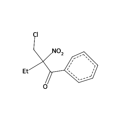 CCC(CCl)(C(=O)c1ccccc1)[N+](=O)[O-]